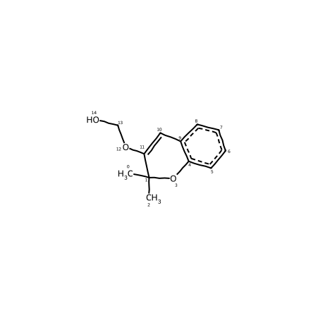 CC1(C)Oc2ccccc2C=C1OCO